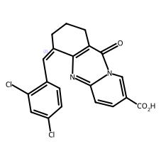 O=C(O)c1ccc2nc3c(c(=O)n2c1)CCC/C3=C/c1ccc(Cl)cc1Cl